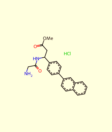 COC(=O)CC(NC(=O)CN)c1ccc(-c2ccc3ccccc3c2)cc1.Cl